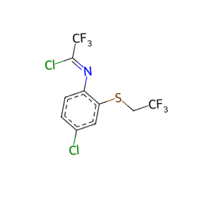 FC(F)(F)CSc1cc(Cl)ccc1N=C(Cl)C(F)(F)F